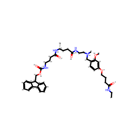 CCNC(=O)CCCOc1ccc(CN(C)CCNC(=O)CC[C@@H](C)NC(=O)CCCNC(=O)OCC2c3ccccc3-c3ccccc32)c(OC)c1